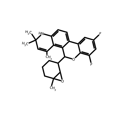 CC1=CC(C)(C)Nc2ccc3c(c21)C(C1CCCC2(C)OC12)Oc1c(F)cc(F)cc1-3